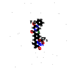 Cc1c(C)c(=O)[nH][n+](OC(=O)C(F)(F)F)c1Cc1ccc(F)c(C(=O)N2CCN(c3ccccc3C(F)(F)F)C(=O)C2)c1